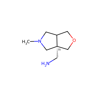 CN1CC2COC[C@@]2(CN)C1